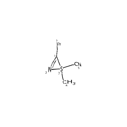 CC(C)C1=NS1(C)C#N